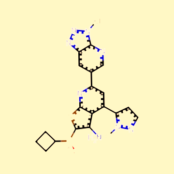 Cn1nccc1-c1cc(-c2cnc3c(c2)nnn3C)nc2sc([S@@+]([O-])C3CCC3)c(N)c12